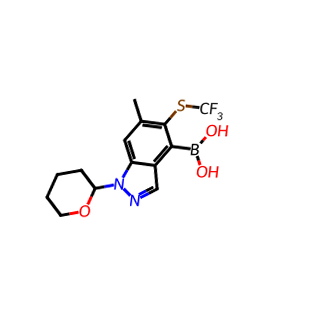 Cc1cc2c(cnn2C2CCCCO2)c(B(O)O)c1SC(F)(F)F